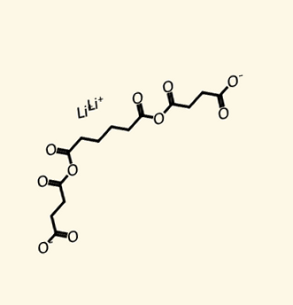 O=C([O-])CCC(=O)OC(=O)CCCCC(=O)OC(=O)CCC(=O)[O-].[Li+].[Li+]